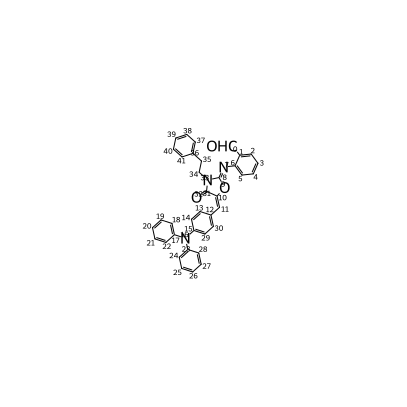 O=Cc1ccccc1/N=C1\O/C(=C/c2ccc(N(c3ccccc3)c3ccccc3)cc2)C(=O)N1CCc1ccccc1